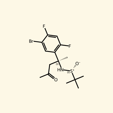 CC(=O)C[C@](C)(N[S@+]([O-])C(C)(C)C)c1cc(Br)c(F)cc1F